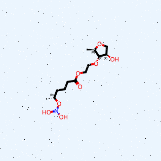 C[C@H](CCCC(=O)OCCO[C@@H]1[C@H](O)CO[C@@H]1C)ON(O)O